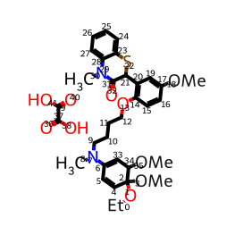 CCOC1(OC)C=CC(N(C)CCCCOc2ccc(OC)cc2C2Sc3ccccc3N(C)C2=O)=CC1OC.O=C(O)C(=O)O